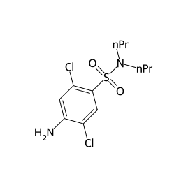 CCCN(CCC)S(=O)(=O)c1cc(Cl)c(N)cc1Cl